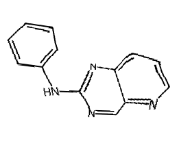 c1ccc(Nc2ncc3ncccc3n2)cc1